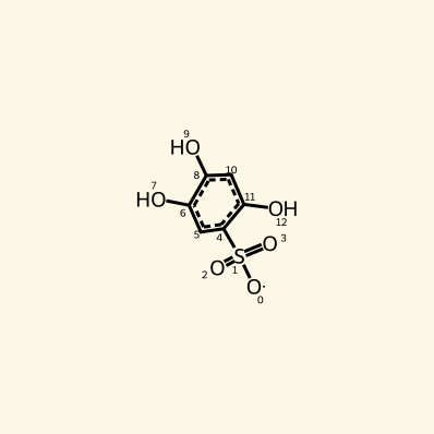 [O]S(=O)(=O)c1cc(O)c(O)cc1O